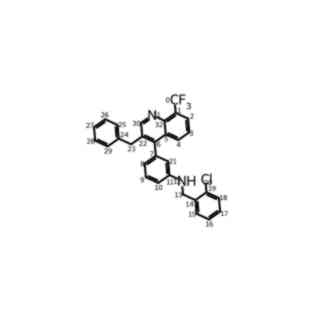 FC(F)(F)c1cccc2c(-c3cccc(NCc4ccccc4Cl)c3)c(Cc3ccccc3)cnc12